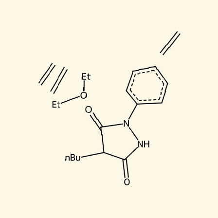 C=C.C=C.C=C.CCCCC1C(=O)NN(c2ccccc2)C1=O.CCOCC